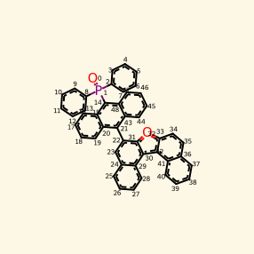 O=P(c1ccccc1)(c1ccccc1)c1c2ccccc2c(-c2cc3ccccc3c3c2oc2ccc4ccccc4c23)c2ccccc12